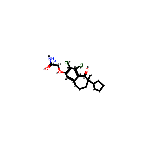 CC1(C2CCCC2)CCCc2cc(OCC(N)=O)c(Cl)c(Cl)c2C1=O